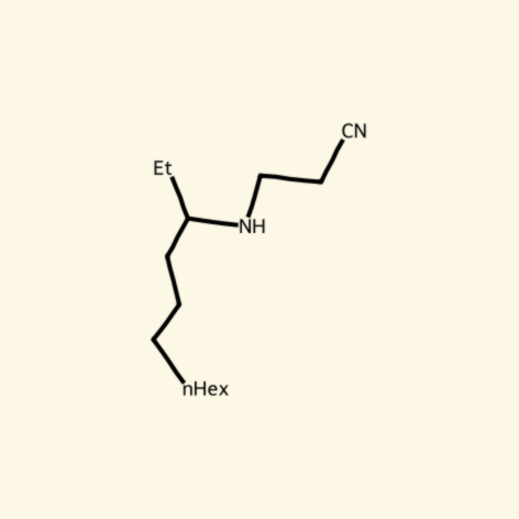 CCCCCCCCCC(CC)NCCC#N